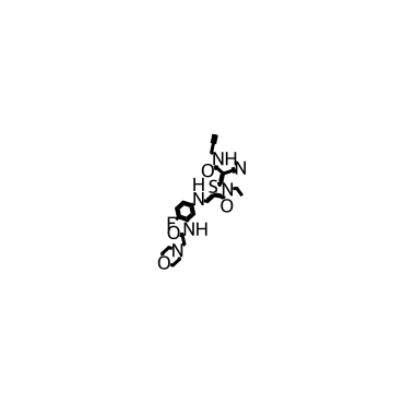 C#CCNC(=O)C(C#N)=c1sc(=CNc2ccc(F)c(NC(=O)CN3CCOCC3)c2)c(=O)n1CC